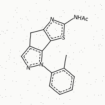 CC(=O)Nc1nc2c(s1)-c1c(cnn1-c1ccccc1C)C2